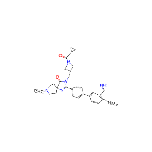 CNc1ccc(-c2ccc(C3=NC4(CCN(C=O)CC4)C(=O)N3CC3CN(C(=O)C4CC4)C3)cc2)cc1C=N